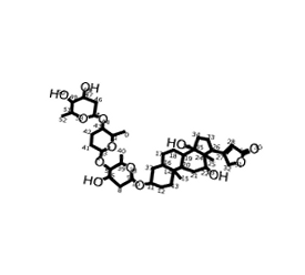 CC1OC(OC2C(O)CC(OC3CCC4(C)C(CCC5C4CC(O)C4(C)C(C6=CC(=O)OC6)CCC54O)C3)OC2C)CCC1OC1CC(O)C(O)C(C)O1